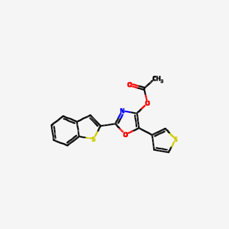 CC(=O)Oc1nc(-c2cc3ccccc3s2)oc1-c1ccsc1